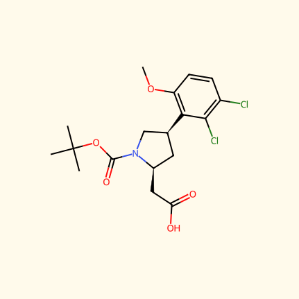 COc1ccc(Cl)c(Cl)c1[C@H]1C[C@@H](CC(=O)O)N(C(=O)OC(C)(C)C)C1